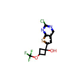 OC1(c2cc3cnc(Cl)nc3s2)CC(OC(F)(F)F)C1